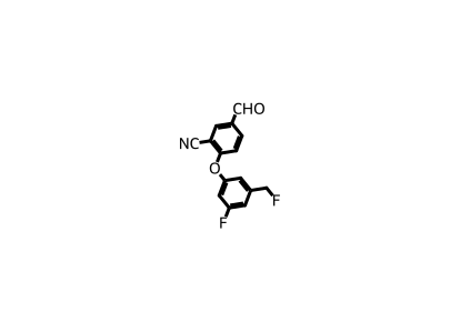 N#Cc1cc(C=O)ccc1Oc1cc(F)cc(CF)c1